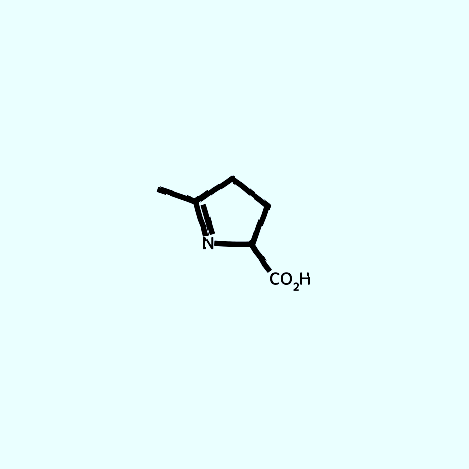 CC1=NC(C(=O)O)CC1